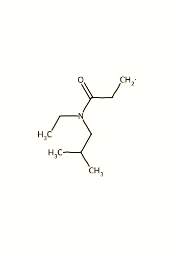 [CH2]CC(=O)N(CC)CC(C)C